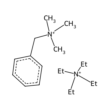 CC[N+](CC)(CC)CC.C[N+](C)(C)Cc1ccccc1